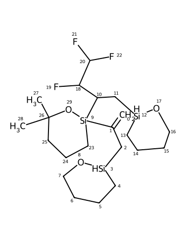 C=C(C[SiH]1CCCCO1)[Si]1(C(C[SiH]2CCCCO2)C(F)C(F)F)CCCC(C)(C)O1